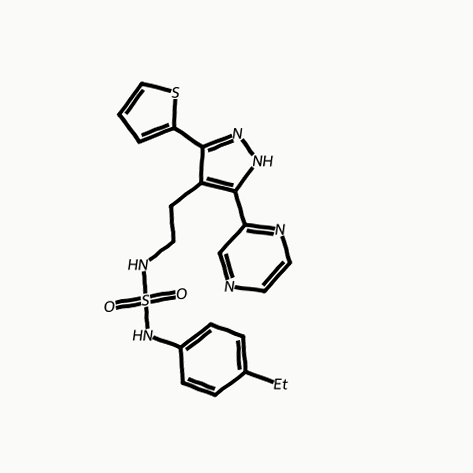 CCc1ccc(NS(=O)(=O)NCCc2c(-c3cccs3)n[nH]c2-c2cnccn2)cc1